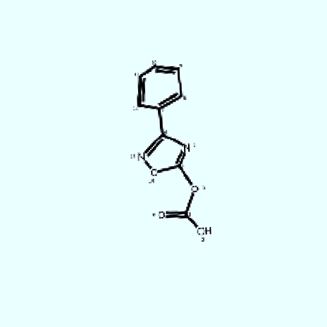 O=C(O)Oc1nc(-c2ccccc2)no1